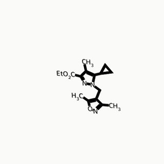 CCOC(=O)c1nn(Cc2c(C)noc2C)c(C2CC2)c1C